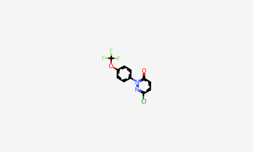 O=c1ccc(Cl)nn1-c1ccc(OC(F)(F)F)cc1